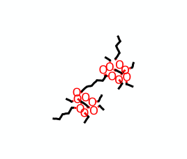 CCCCCOC(OCC)(OC(=O)CCCCC(=O)OC(OCC)(OCCCCC)C(OCC)(OCC)OCC)C(OCC)(OCC)OCC